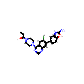 C=CC(=O)N1CCN(c2ncnc3cc(-c4ccc5oc(N)nc5c4)c(Cl)cc23)CC1